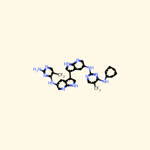 Nc1ncc(C(F)(F)F)c(Nc2cnc3[nH]cc(-c4c[nH]c5ncc(Nc6ncc(C(F)(F)F)c(Nc7ccccc7)n6)cc45)c3c2)n1